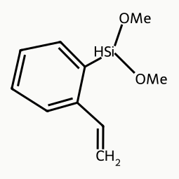 C=Cc1ccccc1[SiH](OC)OC